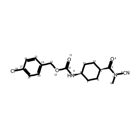 CN(C#N)C(=O)[C@H]1CC[C@@H](NC(=O)OCc2ccc(Cl)cc2)CC1